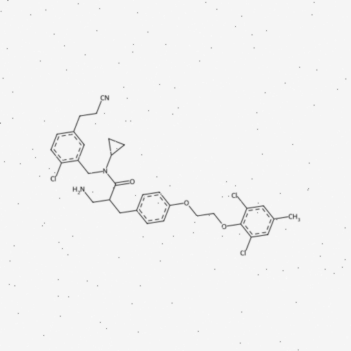 Cc1cc(Cl)c(OCCOc2ccc(CC(CN)C(=O)N(Cc3cc(CCC#N)ccc3Cl)C3CC3)cc2)c(Cl)c1